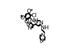 COc1cc(OC)c(Cl)c(Nc2ncncc2-c2cc(NCCN3CCN(C)CC3)ncn2)c1Cl